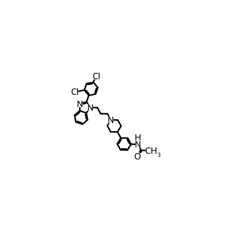 CC(=O)Nc1cccc(C2CCN(CCCn3c(-c4ccc(Cl)cc4Cl)nc4ccccc43)CC2)c1